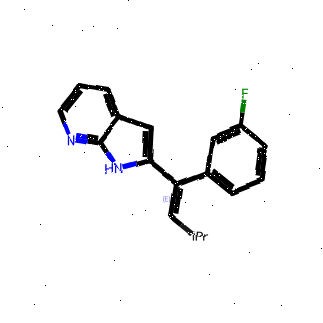 CC(C)/C=C(\c1cccc(F)c1)c1cc2cccnc2[nH]1